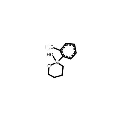 Cc1ccccc1[Si]1(O)CCCCO1